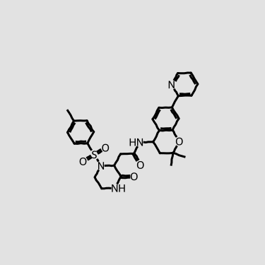 Cc1ccc(S(=O)(=O)N2CCNC(=O)C2CC(=O)NC2CC(C)(C)Oc3cc(-c4ccccn4)ccc32)cc1